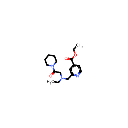 CCOC(=O)c1ccnc(CN(CC)CC(=O)N2CCCCC2)c1